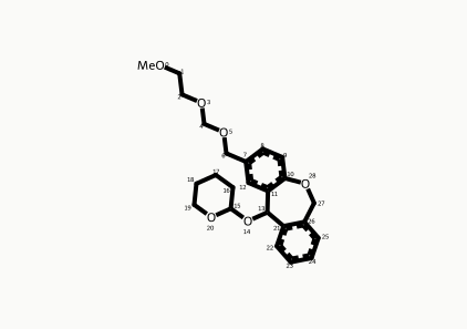 COCCOCOCc1ccc2c(c1)C(OC1CCCCO1)c1ccccc1CO2